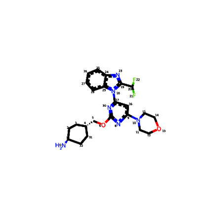 N[C@H]1CC[C@H](COc2nc(N3CCOCC3)cc(-n3c(C(F)F)nc4ccccc43)n2)CC1